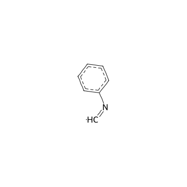 [CH]=Nc1ccccc1